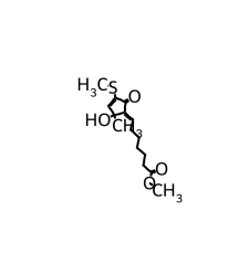 COC(=O)CCCCCC=C1C(=O)C(SC)=CC1(C)O